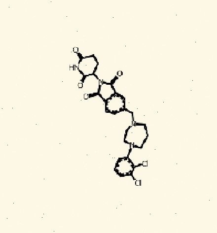 O=C1CCC(N2C(=O)c3ccc(CN4CCCN(c5cccc(Cl)c5Cl)CC4)cc3C2=O)C(=O)N1